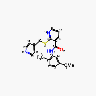 COc1ccc(C(F)(F)F)c(NC(=O)c2cccnc2SCc2ccncc2)c1